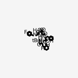 CC(C)(C)NC(=O)C1C[C@@H]2CCCC[C@@H]2CN1CC(O)C(Cc1ccccc1)NC(=O)[C@@H](NC(=O)CNCc1ccc(F)cc1)C(C)(C)S(C)(=O)=O